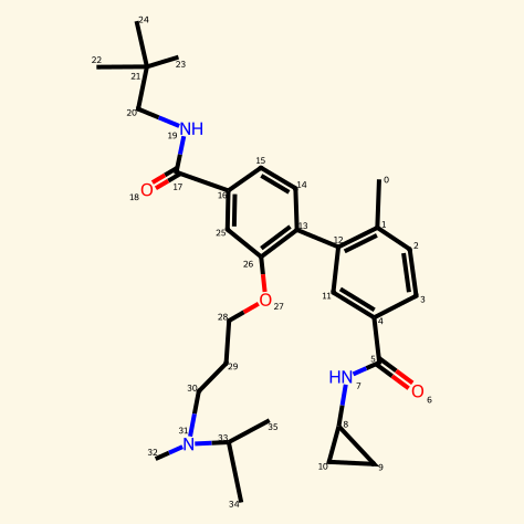 Cc1ccc(C(=O)NC2CC2)cc1-c1ccc(C(=O)NCC(C)(C)C)cc1OCCCN(C)C(C)C